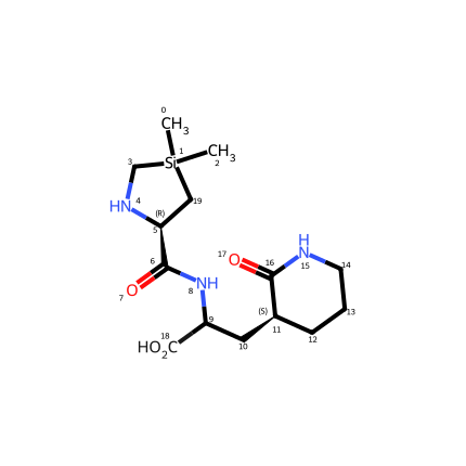 C[Si]1(C)CN[C@H](C(=O)NC(C[C@@H]2CCCNC2=O)C(=O)O)C1